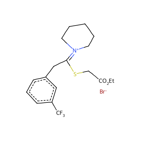 CCOC(=O)CSC(Cc1cccc(C(F)(F)F)c1)=[N+]1CCCCC1.[Br-]